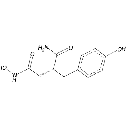 NC(=O)[C@@H](CC(=O)NO)Cc1ccc(O)cc1